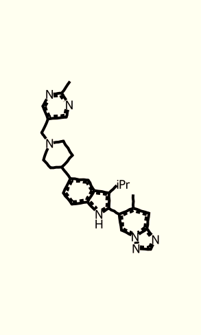 Cc1ncc(CN2CCC(c3ccc4[nH]c(-c5cn6ncnc6cc5C)c(C(C)C)c4c3)CC2)cn1